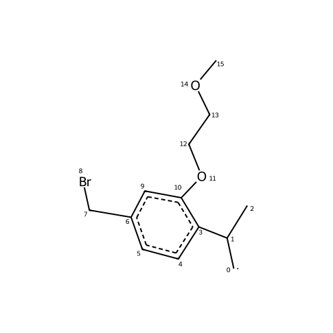 [CH2]C(C)c1ccc(CBr)cc1OCCOC